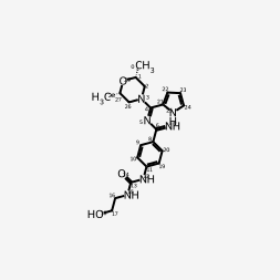 C[C@@H]1CN(/C(=N/C(=N)c2ccc(NC(=O)NCCO)cc2)c2ccc[nH]2)C[C@H](C)O1